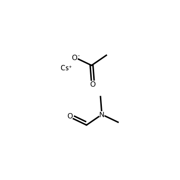 CC(=O)[O-].CN(C)C=O.[Cs+]